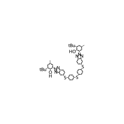 Cc1cc(-n2nc3ccc(Sc4ccc(Sc5ccc(Sc6ccc7nn(-c8cc(C)cc(C(C)(C)C)c8O)nc7c6)cc5)cc4)cc3n2)c(O)c(C(C)(C)C)c1